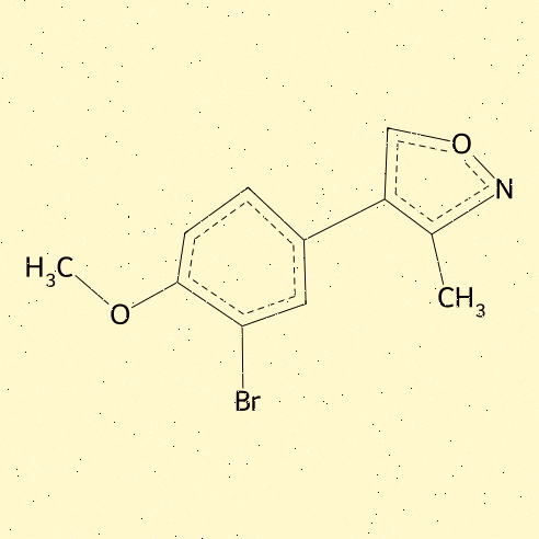 COc1ccc(-c2conc2C)cc1Br